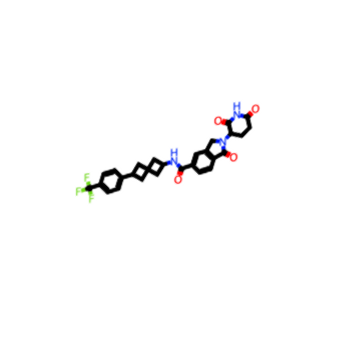 O=C1CCC(N2Cc3cc(C(=O)NC4CC5(C4)CC(c4ccc(C(F)(F)F)cc4)C5)ccc3C2=O)C(=O)N1